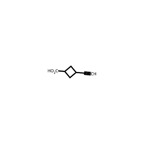 C#CC1CC(C(=O)O)C1